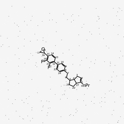 CCCC1=CCC2C(CCc3ccc(-c4ccc(C5CO5)c(F)c4F)cc3)CCC12